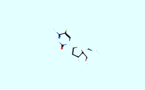 N#CC[C@]1(CO)O[C@@H](n2cc(F)c(N)nc2=O)C[C@@H]1O